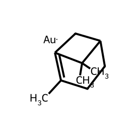 CC1=C2CC(CC1)C2(C)C.[Au]